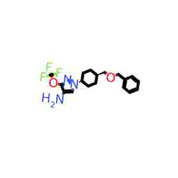 Nc1cn([C@H]2CC[C@H](COCc3ccccc3)CC2)nc1OC(F)(F)F